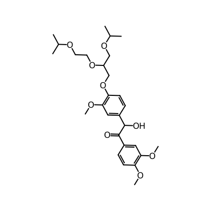 COc1ccc(C(=O)C(O)c2ccc(OCC(COC(C)C)OCCOC(C)C)c(OC)c2)cc1OC